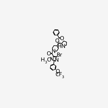 Cn1c(-c2cccc(OC(F)(F)F)c2)nc(Br)c1C(=O)N1CCC([C@H](OC(=O)c2ccccc2)C2CCCN2)CC1